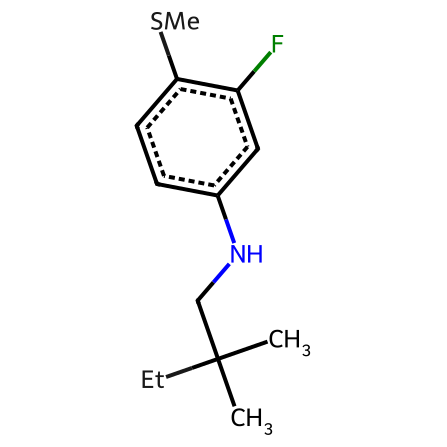 CCC(C)(C)CNc1ccc(SC)c(F)c1